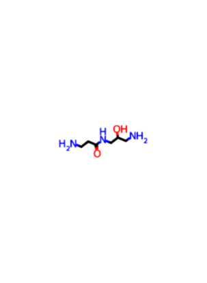 NCCC(=O)NCC(O)CN